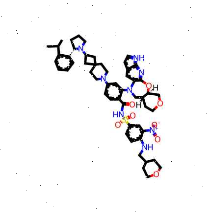 CC(C)c1ccccc1[C@@H]1CCCN1C1CC2(CCN(c3ccc(C(=O)NS(=O)(=O)c4ccc(NCC5CCOCC5)c([N+](=O)[O-])c4)c(N4C[C@H]5CCOC[C@@H]5Oc5nc6[nH]ccc6cc54)c3)CC2)C1